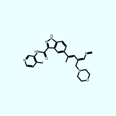 C=N/C=C(\C=C(/C)c1ccc2[nH]nc(C(=O)Nc3cnccc3F)c2c1)CN1CCOCC1